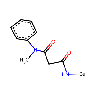 CCC(C)NC(=O)CC(=O)N(C)c1ccccc1